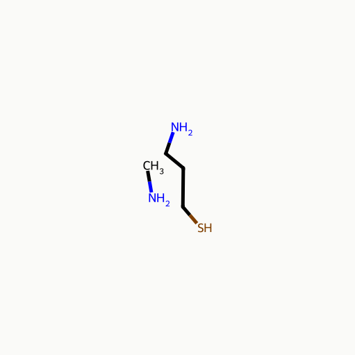 CN.NCCCS